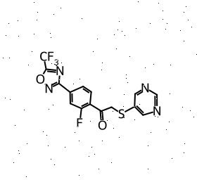 O=C(CSc1cncnc1)c1ccc(-c2noc(C(F)(F)F)n2)cc1F